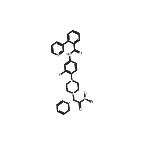 CCN(CC)C(=O)[C@H](C1C=CC=CC1)N1CCN(c2ccc(NC(=O)c3ccccc3-c3cccnc3)cc2F)CC1